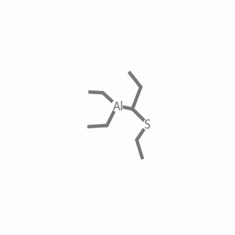 CCS[CH](CC)[Al]([CH2]C)[CH2]C